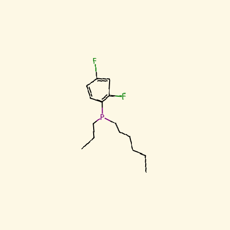 CCCCCCP(CCC)c1ccc(F)cc1F